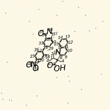 CC(C)C(C)(C(=O)O)c1ccc2ccccc2n1.Cc1cc([N+](=O)[O-])ccc1-c1ccc2c(c1)C(=O)N=C2